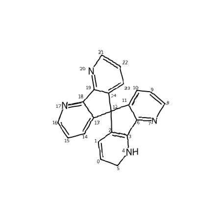 C1=CC2=C(NC1)c1ncccc1C21c2cccnc2-c2ncccc21